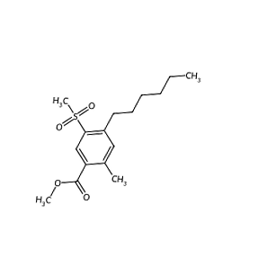 CCCCCCc1cc(C)c(C(=O)OC)cc1S(C)(=O)=O